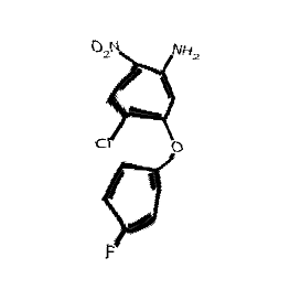 Nc1cc(Oc2ccc(F)cc2)c(Cl)cc1[N+](=O)[O-]